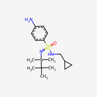 CC(C)(C)[Si](C)(C)N=S(=O)(NCC1CC1)c1ccc(N)cc1